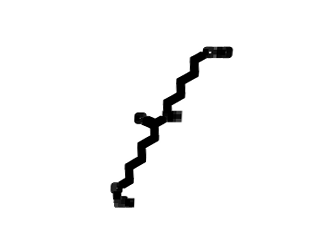 CC(C)(C)OCCCCCC(=O)NCCCCCC=O